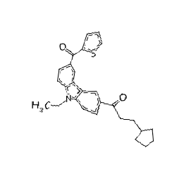 CCn1c2ccc(C(=O)CCC3CCCC3)cc2c2cc(C(=O)c3cccs3)ccc21